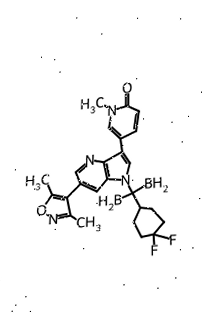 BC(B)(C1CCC(F)(F)CC1)n1cc(-c2ccc(=O)n(C)c2)c2ncc(-c3c(C)noc3C)cc21